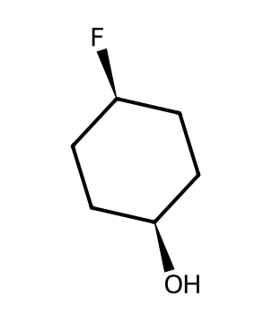 O[C@H]1CC[C@@H](F)CC1